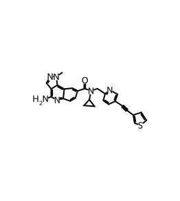 Cn1ncc2c(N)nc3ccc(C(=O)N(Cc4ccc(C#Cc5ccsc5)cn4)C4CC4)cc3c21